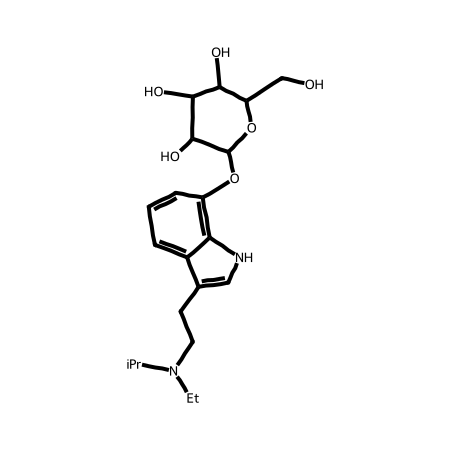 CCN(CCc1c[nH]c2c(OC3OC(CO)C(O)C(O)C3O)cccc12)C(C)C